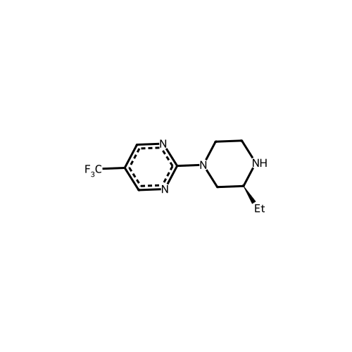 CC[C@H]1CN(c2ncc(C(F)(F)F)cn2)CCN1